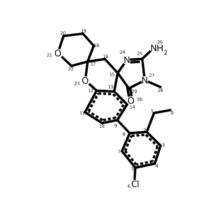 CCc1ccc(Cl)cc1-c1ccc2c(c1)C1(CC3(CCCOC3)O2)N=C(N)N(C)C1=O